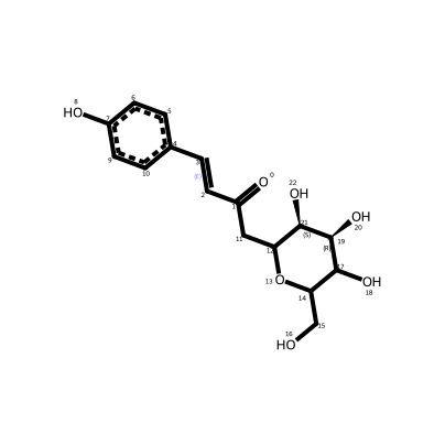 O=C(/C=C/c1ccc(O)cc1)CC1OC(CO)C(O)[C@H](O)[C@@H]1O